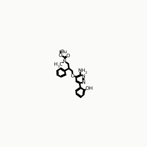 CN(CC(COc1cc(-c2ccccc2O)nnc1N)c1ccccc1)C(=O)OC(C)(C)C